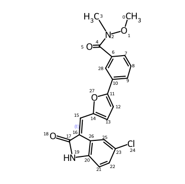 CON(C)C(=O)c1cccc(-c2ccc(/C=C3/C(=O)Nc4ccc(Cl)cc43)o2)c1